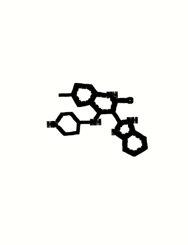 Cc1ccc2[nH]c(=O)c(-c3nc4ccccc4[nH]3)c(NC3CCNCC3)c2c1